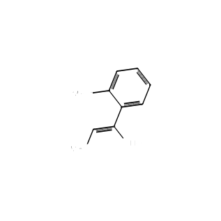 COc1ccccc1C(C=O)=CSC